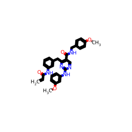 C=CC(=O)Nc1cccc(Cc2nc(Nc3cccc(OC)c3)ncc2C(=O)NCc2ccc(OC)cc2)c1